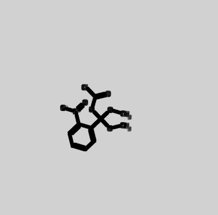 COC(OC)(OC(=O)Cl)c1ccccc1[N+](=O)[O-]